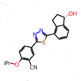 CC(C)Oc1ccc(-c2nnc(-c3cccc4c3CC[C@@H]4O)s2)cc1C#N